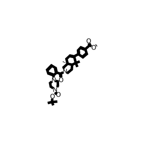 COC(=O)c1ccc(C2=CC[C@]3(C)CN(C(=O)c4ccccc4N4CCN(C(=O)OC(C)(C)C)CC4)CCC3C2(C)C)cc1